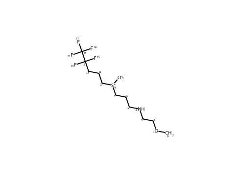 COCCNCCC[S+]([O-])CCCC(F)(F)C(F)(F)F